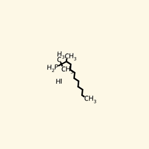 CCCCCCCCCC(C)C(C)(C)P.I